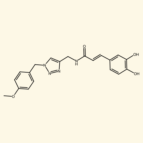 COc1ccc(Cn2cc(CNC(=O)/C=C/c3ccc(O)c(O)c3)nn2)cc1